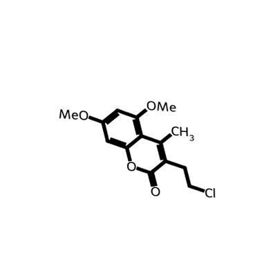 COc1cc(OC)c2c(C)c(CCCl)c(=O)oc2c1